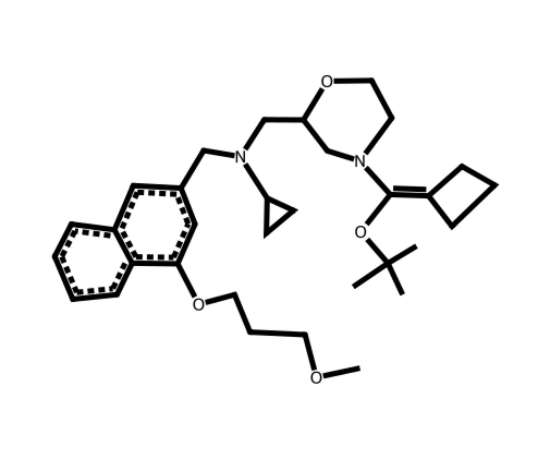 COCCCOc1cc(CN(CC2CN(C(OC(C)(C)C)=C3CCC3)CCO2)C2CC2)cc2ccccc12